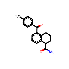 Cc1ccc(C(=O)c2cccc3c2CCCC3C(N)=O)cc1